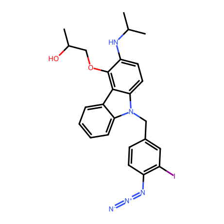 CC(O)COc1c(NC(C)C)ccc2c1c1ccccc1n2Cc1ccc(N=[N+]=[N-])c(I)c1